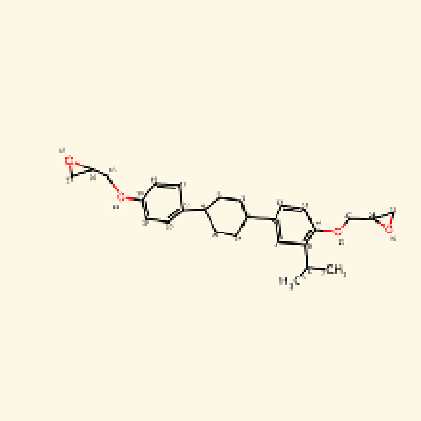 CC(C)c1cc(C2CCC(c3ccc(OCC4CO4)cc3)CC2)ccc1OCC1CO1